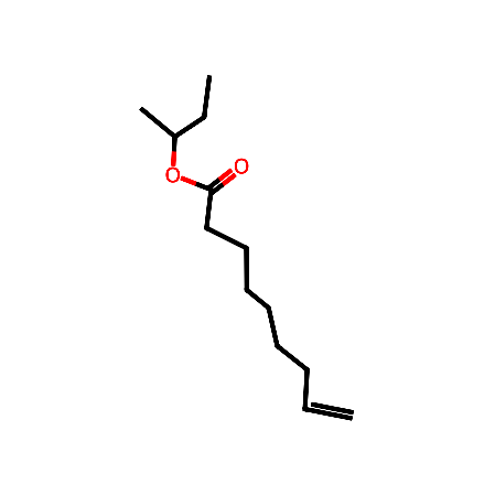 C=CCCCCCCC(=O)OC(C)CC